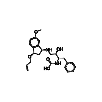 C=CCO[C@@H]1C[C@H](NC[C@@H](O)[C@H](Cc2ccccc2)NC(=O)O)c2cc(OC)ccc21